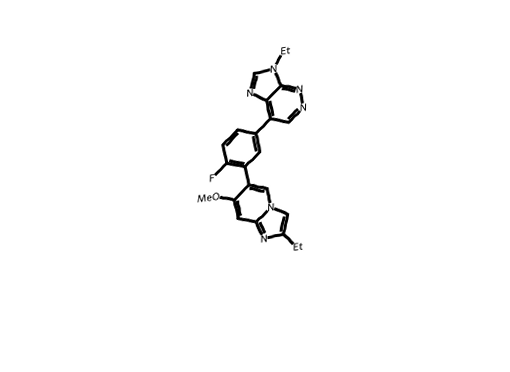 CCc1cn2cc(-c3cc(-c4cnnc5c4ncn5CC)ccc3F)c(OC)cc2n1